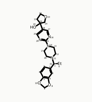 CC[C@@H](c1ccc2c(c1)OCO2)N1CCN(c2ncc(C3(O)CCOC3)cn2)CC1